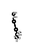 COC[C@@H](Cc1nc[nH]c(=O)c1O)c1ccc(C#Cc2ccc(CN[C@H]3CCNC3)cc2)cc1